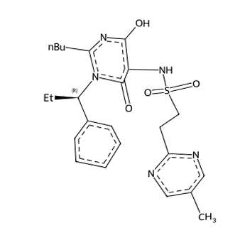 CCCCc1nc(O)c(NS(=O)(=O)CCc2ncc(C)cn2)c(=O)n1[C@H](CC)c1ccccc1